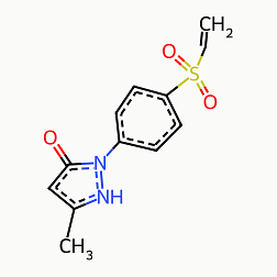 C=CS(=O)(=O)c1ccc(-n2[nH]c(C)cc2=O)cc1